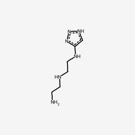 NCCNCCNc1c[nH]nn1